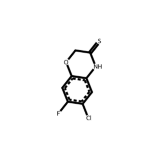 Fc1cc2c(cc1Cl)NC(=S)CO2